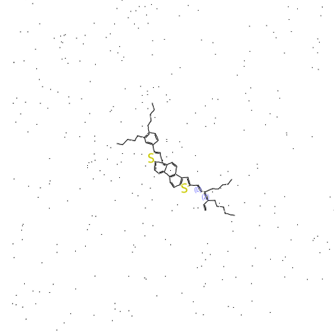 C=C/C(CCCCC)=C(\C=C\c1cc2c(ccc3c2ccc2c4cc(-c5ccc(CCCCC)c(CCCCC)c5)sc4ccc23)s1)CCCCC